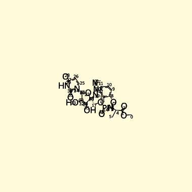 COC(=O)C(C)N(Oc1ccccc1)[PH](=O)OC[C@@]1(N=[N+]=[N-])O[C@@H](n2ccc(=O)[nH]c2=O)[C@H](O)[C@@H]1O